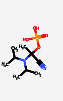 CC(C)N(C(C)C)C(C)(C#N)OP(=O)(O)O